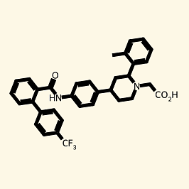 Cc1ccccc1C1CC(c2ccc(NC(=O)c3ccccc3-c3ccc(C(F)(F)F)cc3)cc2)CCN1CC(=O)O